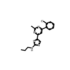 CCCNc1ncc(-c2cc(-c3ccccc3Cl)nc(C)n2)s1